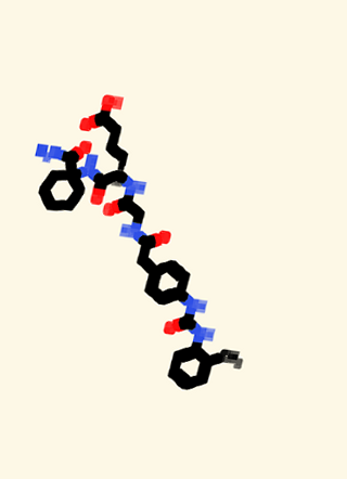 Cc1ccccc1NC(=O)Nc1ccc(CC(=O)NCC(=O)N[C@@H](CCCC(=O)O)C(=O)NC2(C(N)=O)CCCCC2)cc1